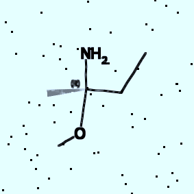 CC[C@](C)(N)OC